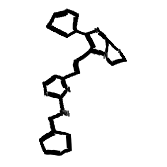 C(=Cc1c(-c2ccccc2)nc2sccn12)c1ccnc(NCc2ccccc2)n1